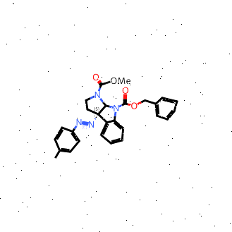 COC(=O)N1CC[C@]2(/N=N/c3ccc(C)cc3)c3ccccc3N(C(=O)OCc3ccccc3)C12